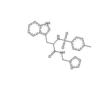 Cc1ccc(S(=O)(=O)NC(Cc2c[nH]c3ccccc23)C(=O)NCc2ccco2)cc1